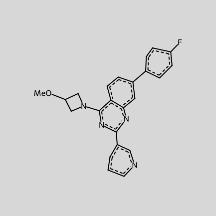 COC1CN(c2nc(-c3cccnc3)nc3cc(-c4ccc(F)cc4)ccc23)C1